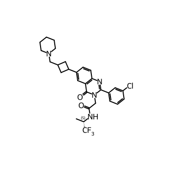 C[C@H](NC(=O)Cn1c(-c2cccc(Cl)c2)nc2ccc(C3CC(CN4CCCCC4)C3)cc2c1=O)C(F)(F)F